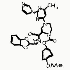 COc1ccc(OC(=O)N2CCN(c3cc(C)nc(-n4ccnc4)n3)CC2C(=O)NCC2Oc3ccccc3O2)cc1